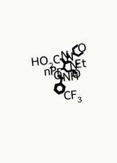 CCCC1c2c(C(=O)O)nn(C3CCOCC3)c2N(CC)C(=O)C1NC(=O)c1cccc(C(F)(F)F)c1